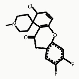 CN1CCC2(CC1)C1=C(C=CC2Cl)Oc2cc(F)c(F)cc2CC1=O